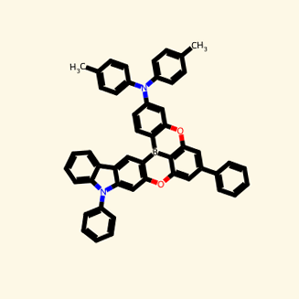 Cc1ccc(N(c2ccc(C)cc2)c2ccc3c(c2)Oc2cc(-c4ccccc4)cc4c2B3c2cc3c5ccccc5n(-c5ccccc5)c3cc2O4)cc1